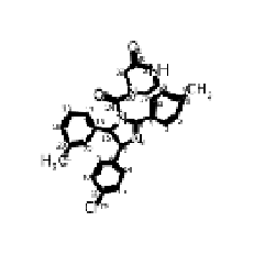 Cc1ccc(C2=NC(c3ccc(Cl)cc3)C(c3cccc(C)c3)N2C(=O)N2CCNC(=O)C2)cc1